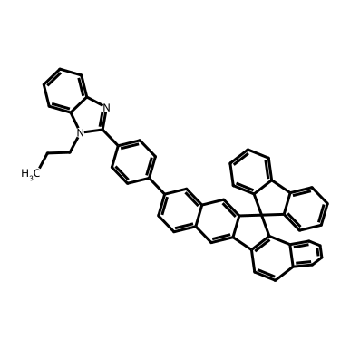 CCCn1c(-c2ccc(-c3ccc4cc5c(cc4c3)C3(c4ccccc4-c4ccccc43)c3c-5ccc4ccccc34)cc2)nc2ccccc21